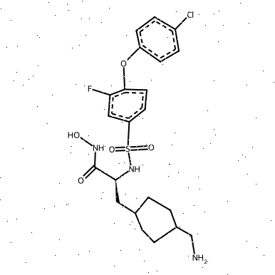 NCC1CCC(C[C@H](NS(=O)(=O)c2ccc(Oc3ccc(Cl)cc3)c(F)c2)C(=O)NO)CC1